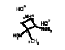 CC1(N)CCC1N.Cl.Cl.N